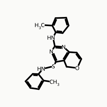 Cc1ccccc1NSc1nc(Nc2ccccc2C)nc2c1COC=C2